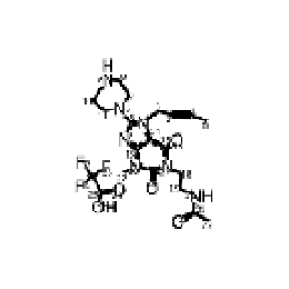 CC#CCn1c(N2CCNCC2)nc2c1c(=O)n(CCNC(C)=O)c(=O)n2C.O=C(O)C(F)(F)F